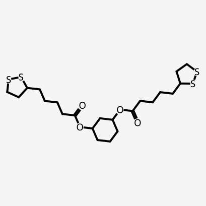 O=C(CCCCC1CCSS1)OC1CCCC(OC(=O)CCCCC2CCSS2)C1